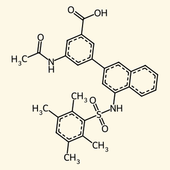 CC(=O)Nc1cc(C(=O)O)cc(-c2cc(NS(=O)(=O)c3c(C)c(C)cc(C)c3C)c3ccccc3c2)c1